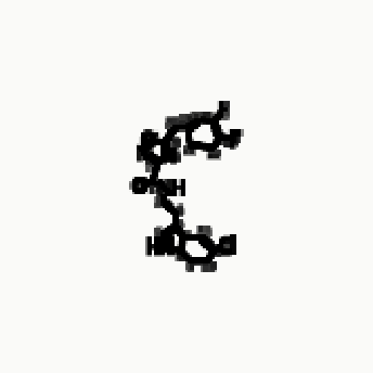 O=C(NCCc1c[nH]c2ccc(Cl)cc12)c1noc(Cc2ccc(F)c(F)c2)n1